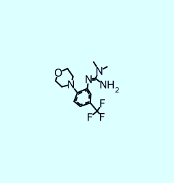 CN(C)/C(N)=N/c1cc(C(F)(F)F)ccc1N1CCOCC1